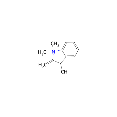 C=C1C(C)c2ccccc2[N+]1(C)C